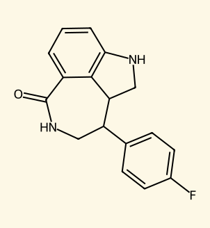 O=C1NCC(c2ccc(F)cc2)C2CNc3cccc1c32